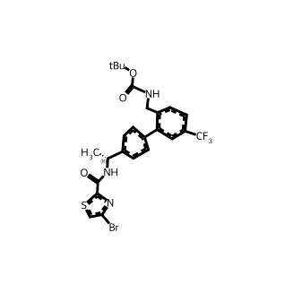 C[C@@H](NC(=O)c1nc(Br)cs1)c1ccc(-c2cc(C(F)(F)F)ccc2CNC(=O)OC(C)(C)C)cc1